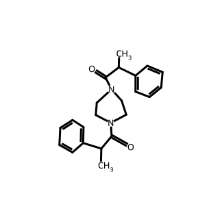 CC(C(=O)N1CCN(C(=O)C(C)c2ccccc2)CC1)c1ccccc1